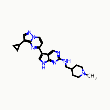 CN1CCC(CNc2ncc3c(-c4ccn5ncc(C6CC6)c5n4)c[nH]c3n2)CC1